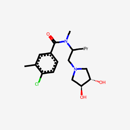 Cc1cc(C(=O)N(C)C(CN2C[C@H](O)[C@@H](O)C2)C(C)C)ccc1Cl